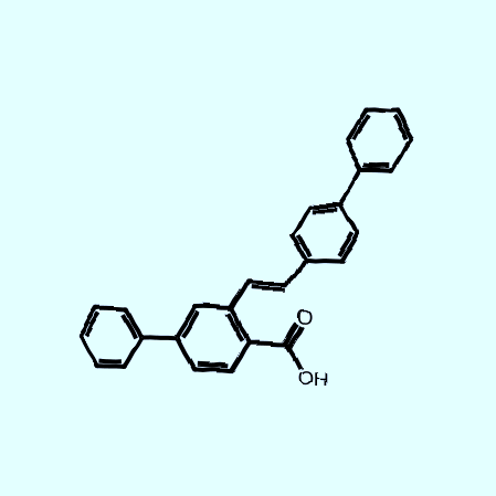 O=C(O)c1ccc(-c2ccccc2)cc1C=Cc1ccc(-c2ccccc2)cc1